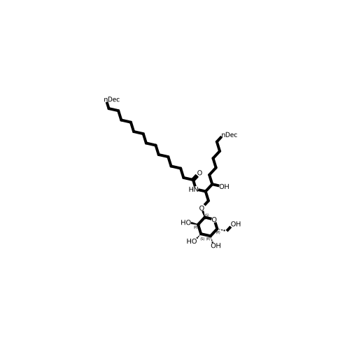 CCCCCCCCCCCCCCCCCCCCCCCC(=O)NC(CO[C@H]1O[C@H](CO)[C@H](O)[C@H](O)[C@H]1O)C(O)CCCCCCCCCCCCCCC